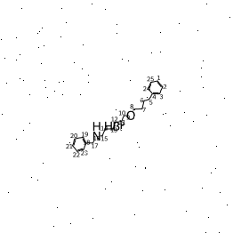 Br.c1ccc(CCCCOCCCCCCNCc2ccccc2)cc1